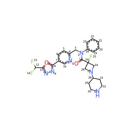 O=C(N(Cc1ccc(-c2nnc(C(F)F)o2)cn1)c1ccccc1)C1(F)CN(C2CCNCC2)C1